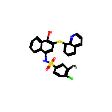 O=S(=O)(Nc1cc(Sc2cccc3cccnc23)c(O)c2ccccc12)c1ccc(Cl)c(C(F)(F)F)c1